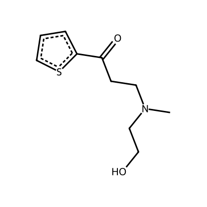 CN(CCO)CCC(=O)c1cccs1